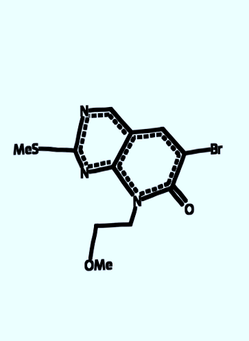 COCCn1c(=O)c(Br)cc2cnc(SC)nc21